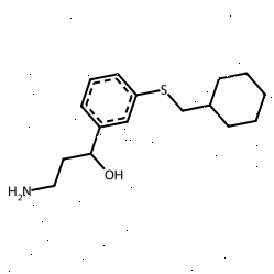 NCCC(O)c1cccc(SCC2CCCCC2)c1